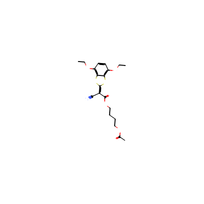 CCOc1ccc(OCC)c2c1SC(=C(C#N)C(=O)OCCCCOC(C)=O)S2